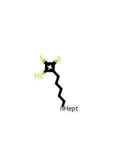 CCCCCCCCCCCCc1c(S)c(=S)c1=S